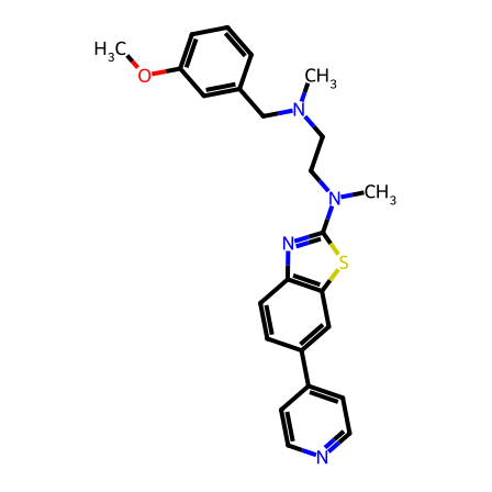 COc1cccc(CN(C)CCN(C)c2nc3ccc(-c4ccncc4)cc3s2)c1